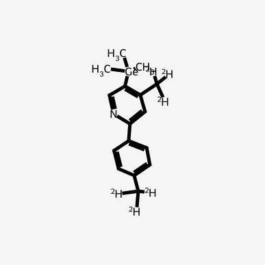 [2H]C([2H])([2H])c1ccc(-c2cc(C([2H])([2H])[2H])[c]([Ge]([CH3])([CH3])[CH3])cn2)cc1